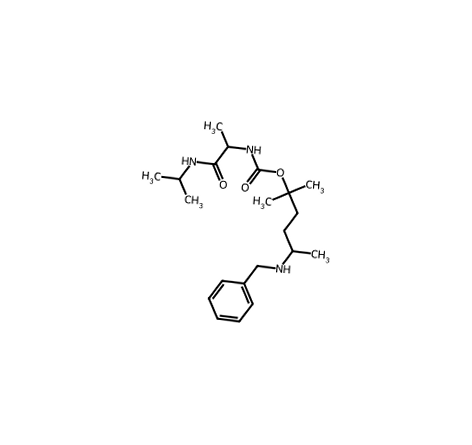 CC(C)NC(=O)C(C)NC(=O)OC(C)(C)CCC(C)NCc1ccccc1